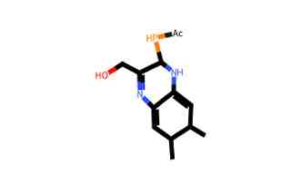 CC(=O)PC1NC2=CC(C)C(C)C=C2N=C1CO